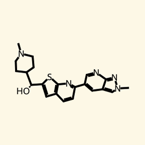 CN1CCC([C@@H](O)c2cc3ccc(-c4cnc5nn(C)cc5c4)nc3s2)CC1